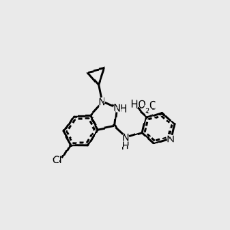 O=C(O)c1ccncc1NC1NN(C2CC2)c2ccc(Cl)cc21